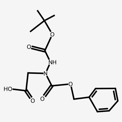 CC(C)(C)OC(=O)NN(CC(=O)O)C(=O)OCc1ccccc1